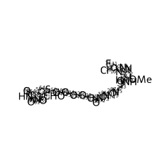 COc1cc2ncnc(Nc3ccc(F)c(Cl)c3)c2cc1NC(=O)/C=C/CN1CCC(N2CCN(C(=O)COCCOCCOCCOCCOCCSc3cccc(C(=O)N(C)C4CCC(=O)NC4=O)c3C=O)CC2)CC1